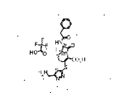 NCc1nnc(SC2=C(C(=O)O)N3C(=O)[C@@H](NC(=O)Cc4ccccc4)[C@H]3SC2)s1.O=C(O)C(F)(F)F